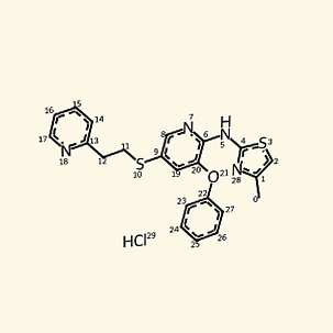 Cc1csc(Nc2ncc(SCCc3ccccn3)cc2Oc2ccccc2)n1.Cl